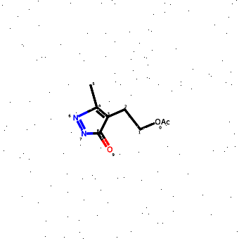 CC(=O)OCCC1=C(C)N=NC1=O